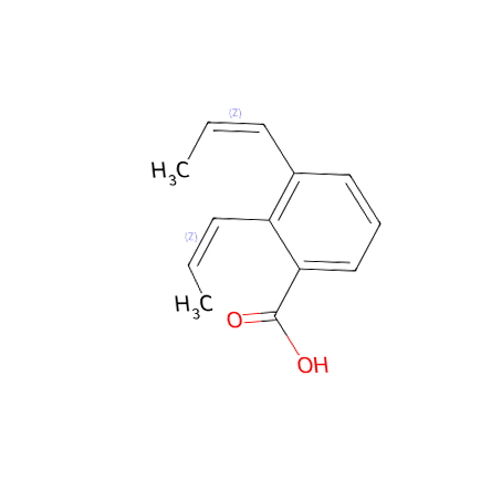 C/C=C\c1cccc(C(=O)O)c1/C=C\C